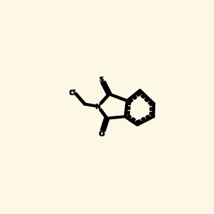 O=C1c2ccccc2C(=S)N1CCl